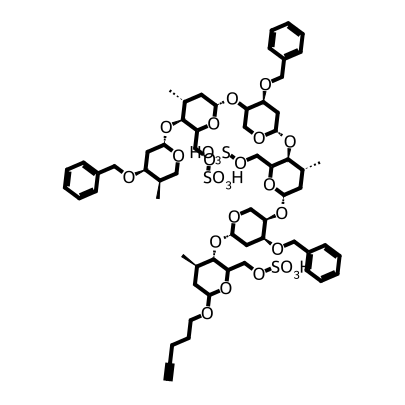 C#CCCCOC1C[C@@H](C)[C@H](O[C@H]2C[C@H](OCc3ccccc3)[C@H](O[C@H]3C[C@@H](C)[C@H](O[C@H]4C[C@H](OCc5ccccc5)C(O[C@H]5C[C@@H](C)[C@H](O[C@H]6C[C@H](OCc7ccccc7)[C@H](C)CO6)C(COS(=O)(=O)O)O5)CO4)C(COS(=O)(=O)O)O3)CO2)C(COS(=O)(=O)O)O1